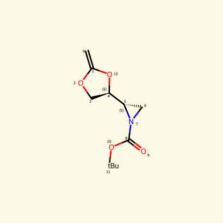 C=C1OC[C@H]([C@@H]2CN2C(=O)OC(C)(C)C)O1